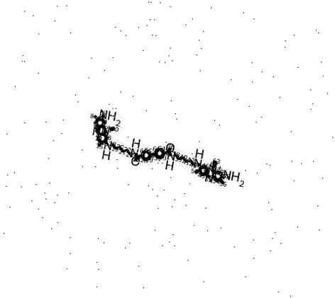 C#CN1c2cc(N)c(C)cc2N=C2C=C(C)C(NCCCCCCNC(=O)c3ccc(-c4ccc(C(=O)NCCCCCCNc5cc6c(cc5C)nc5cc(C)c(N)cc5[n+]6C#C)cc4)cc3)=CC21